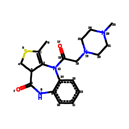 CC1=C2C(CS1)C(=O)Nc1ccccc1N2C(=O)CN1CCN(C)CC1